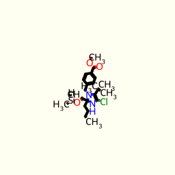 CCCCC1(CO[SiH](C)C)NC(Cl)=C(C(C)(C)C)N1Cc1ccc(C(=O)OC)cc1